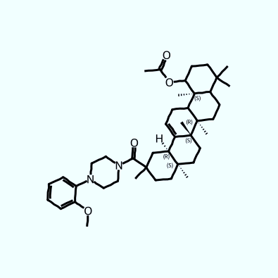 COc1ccccc1N1CCN(C(=O)C2(C)CC[C@]3(C)CC[C@]4(C)C(=CCC5[C@@]6(C)C(OC(C)=O)CCC(C)(C)C6CC[C@]54C)[C@@H]3C2)CC1